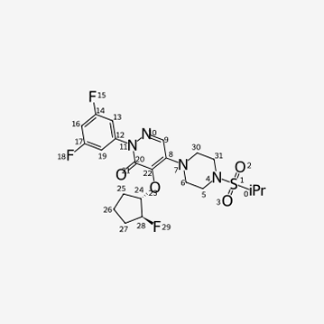 CC(C)S(=O)(=O)N1CCN(c2cnn(-c3cc(F)cc(F)c3)c(=O)c2O[C@H]2CCC[C@@H]2F)CC1